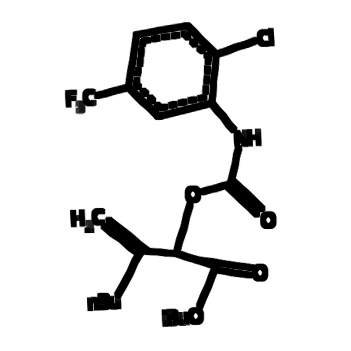 C=C(CCCC)C(OC(=O)Nc1cc(C(F)(F)F)ccc1Cl)C(=O)OCC(C)C